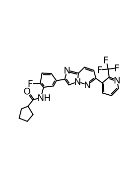 O=C(Nc1cc(-c2cn3nc(-c4cccnc4C(F)(F)F)ccc3n2)ccc1F)C1CCCC1